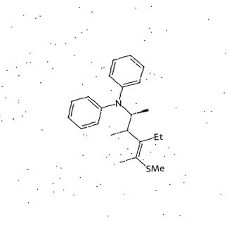 CC/C(=C(/C)SC)C(C)[C@H](C)N(c1ccccc1)c1ccccc1